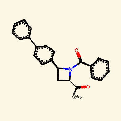 COC(=O)[C@@H]1CC(c2ccc(-c3ccccc3)cc2)N1C(=O)c1ccccc1